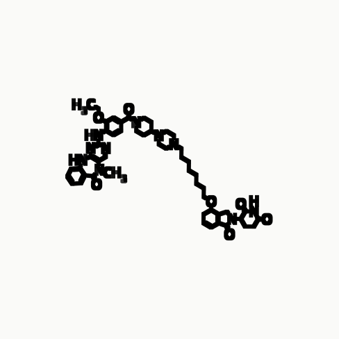 CCOc1cc(C(=O)N2CCC(N3CCN(CCCCCCCCOC4CC=CC5=C4CN(C4CCC(=O)NC4=O)C5=O)CC3)CC2)ccc1Nc1ncc2c(n1)Nc1ccccc1C(=O)N2C